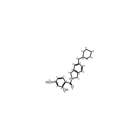 O=C(c1ccc(O)cc1O)N1Cc2ccc(CC3CCCCC3)cc2C1